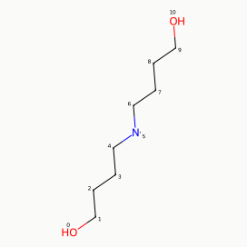 OCCCC[N]CCCCO